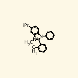 Cc1ccccc1-c1n(-c2ccccc2)c2ccc(C(C)C)cc2[n+]1C